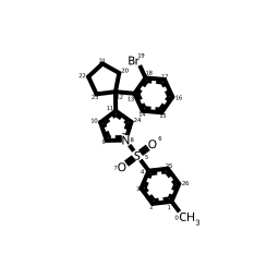 Cc1ccc(S(=O)(=O)n2ccc(C3(c4ccccc4Br)CCCC3)c2)cc1